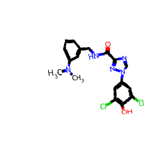 CN(C)c1cccc(CNC(=O)c2ncn(-c3cc(Cl)c(O)c(Cl)c3)n2)c1